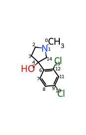 CN1CCC(O)(c2ccc(Cl)cc2Cl)C1